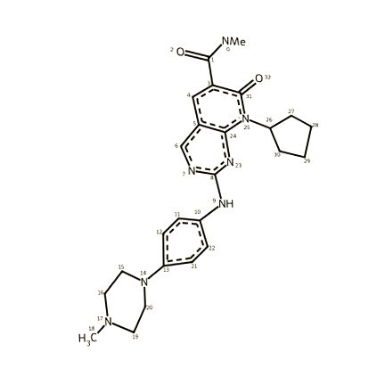 CNC(=O)c1cc2cnc(Nc3ccc(N4CCN(C)CC4)cc3)nc2n(C2CCCC2)c1=O